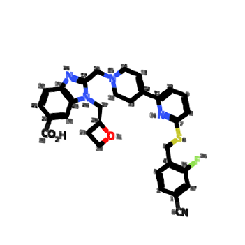 N#Cc1ccc(CSc2cccc(C3=CCN(Cc4nc5ccc(C(=O)O)cc5n4C[C@@H]4CCO4)CC3)n2)c(F)c1